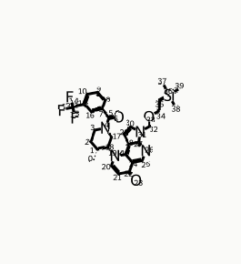 C[C@@H]1CCN(C(=O)c2cccc(C(F)(F)F)c2)C[C@@H]1n1ccc(=O)c2cnc3c(ccn3COCC[Si](C)(C)C)c21